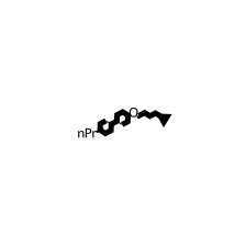 CCC[C@H]1CC[C@H]([C@H]2CC[C@H](OCCCCC3CC3)CC2)CC1